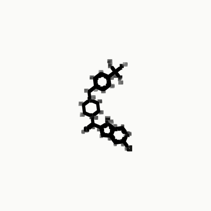 O=C(c1cc2cc(Cl)ncc2[nH]1)N1CCN(Cc2ccc(C(F)(F)F)cc2)CC1